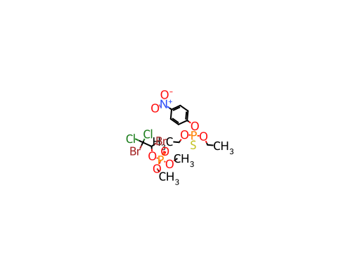 CCOP(=S)(OCC)Oc1ccc([N+](=O)[O-])cc1.COP(=O)(OC)OC(Br)C(Cl)(Cl)Br